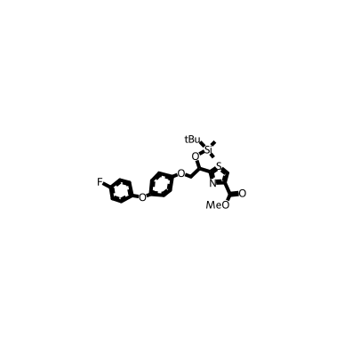 COC(=O)c1csc(C(COc2ccc(Oc3ccc(F)cc3)cc2)O[Si](C)(C)C(C)(C)C)n1